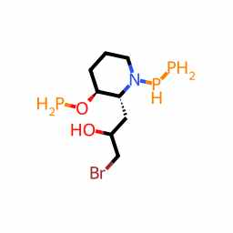 OC(CBr)C[C@@H]1[C@@H](OP)CCCN1PP